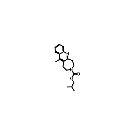 Cc1c2c(nc3ccccc13)CCN(C(=O)OCC(C)C)CC2